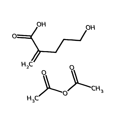 C=C(CCCO)C(=O)O.CC(=O)OC(C)=O